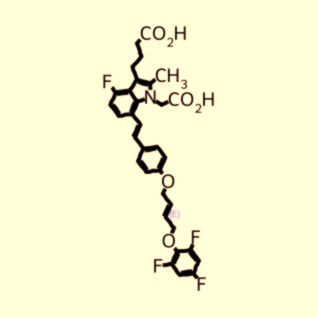 Cc1c(CCCC(=O)O)c2c(F)ccc(C=Cc3ccc(OC/C=C/COc4c(F)cc(F)cc4F)cc3)c2n1CC(=O)O